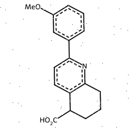 COc1cccc(-c2ccc3c(n2)CCCC3C(=O)O)c1